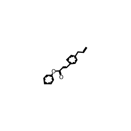 C=CCc1ccc(C=CC(=O)Oc2ccccc2)cc1